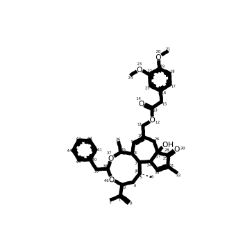 C=C(C)C1C[C@@H](C)C2C(C=C(COC(=O)Cc3ccc(OC)c(OC)c3)CC3(O)C(=O)C(C)=CC23)C(C)OC(Cc2ccccc2)O1